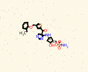 CCc1ccccc1OCc1csc(C(=O)c2cncnc2N[C@@H]2C[C@H](COS(N)(=O)=O)[C@@H](O)C2)c1